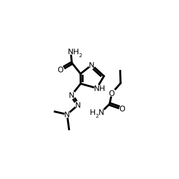 CCOC(N)=O.CN(C)/N=N/c1[nH]cnc1C(N)=O